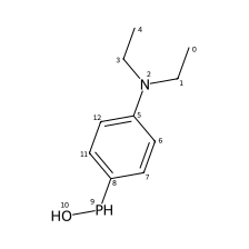 CCN(CC)c1ccc(PO)cc1